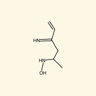 C=CC(=N)CC(C)NO